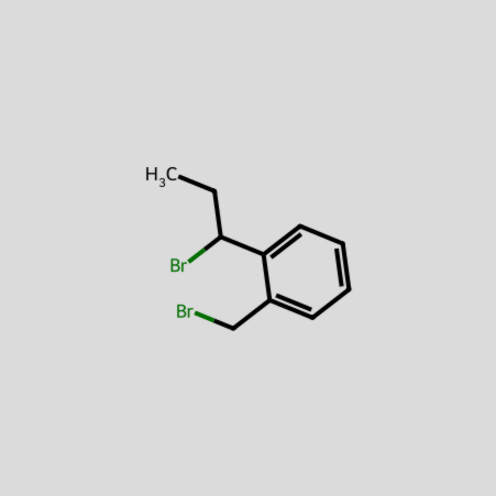 CCC(Br)c1ccccc1CBr